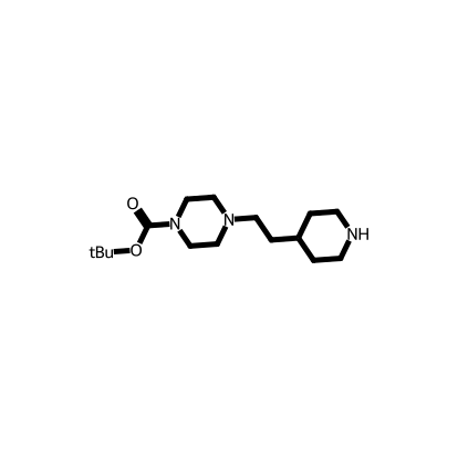 CC(C)(C)OC(=O)N1CCN(CCC2CCNCC2)CC1